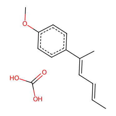 C/C=C/C=C(\C)c1ccc(OC)cc1.O=C(O)O